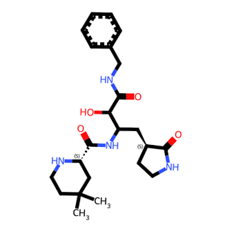 CC1(C)CCN[C@H](C(=O)NC(C[C@@H]2CCNC2=O)C(O)C(=O)NCc2ccccc2)C1